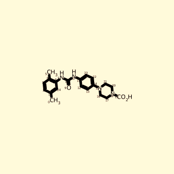 Cc1ccc(C)c(NC(=O)Nc2ccc(N3CCN(C(=O)O)CC3)cc2)c1